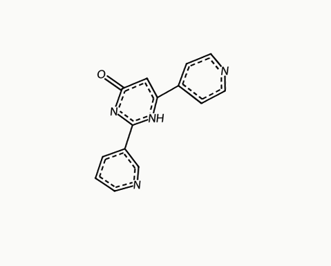 O=c1cc(-c2ccncc2)[nH]c(-c2cccnc2)n1